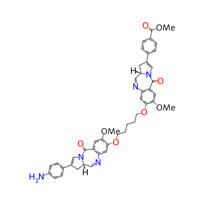 COC(=O)c1ccc(C2=CN3C(=O)c4cc(OC)c(OCCCCCOc5cc6c(cc5OC)C(=O)N5C=C(c7ccc(N)cc7)C[C@H]5C=N6)cc4N=C[C@@H]3C2)cc1